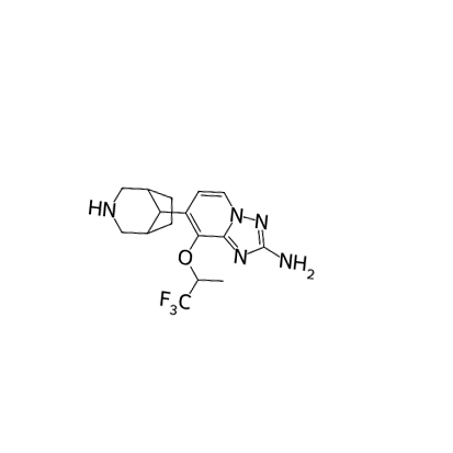 CC(Oc1c(C2C3CCC2CNC3)ccn2nc(N)nc12)C(F)(F)F